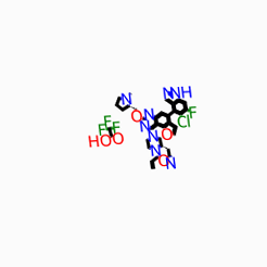 C=CC(=O)N1CCN(c2nc(OC[C@@H]3CCCN3C)nc3cc(-c4c(Cl)c(F)cc5[nH]ncc45)c4ccoc4c23)C[C@@H]1CC#N.O=C(O)C(F)(F)F